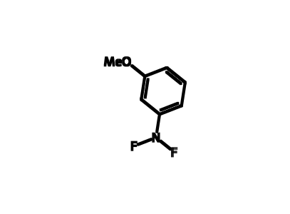 COc1cccc(N(F)F)c1